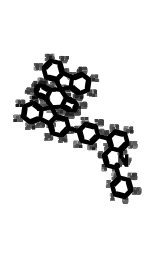 c1ccc(-c2ccc3c(-c4ccc(-c5ccc6c(c5)C5(c7ccccc7-6)c6ccccc6C6(c7ccccc7-c7ccccc76)c6ccccc65)cc4)cccc3n2)cc1